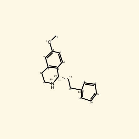 COc1ccc2c(c1)CCN[C@H]2CCc1ccccc1